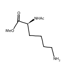 COC(=O)[C@H](CCCCN)NC(C)=O